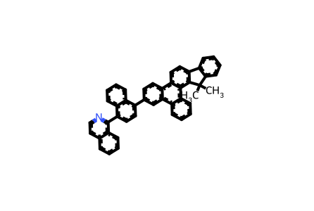 CC1(C)c2ccccc2-c2ccc3c4ccc(-c5ccc(-c6nccc7ccccc67)c6ccccc56)cc4c4ccccc4c3c21